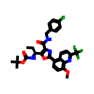 CC[C@H](NC(=O)OC(C)(C)C)c1oc(-c2ccc(OC)c3nc(C(F)(F)F)ccc23)nc1C(=O)NCc1ccc(Cl)cc1